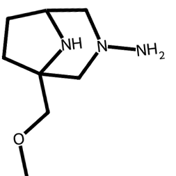 COCC12CCC(CN(N)C1)N2